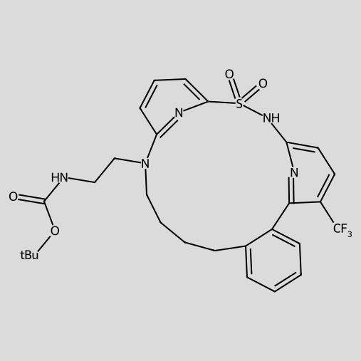 CC(C)(C)OC(=O)NCCN1CCCCc2ccccc2-c2nc(ccc2C(F)(F)F)NS(=O)(=O)c2cccc1n2